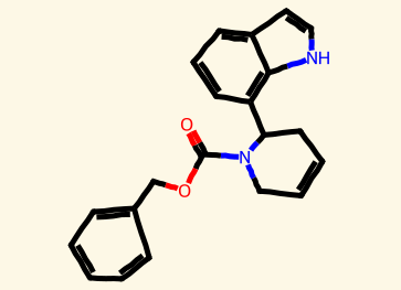 O=C(OCc1ccccc1)N1CC=CCC1c1cccc2cc[nH]c12